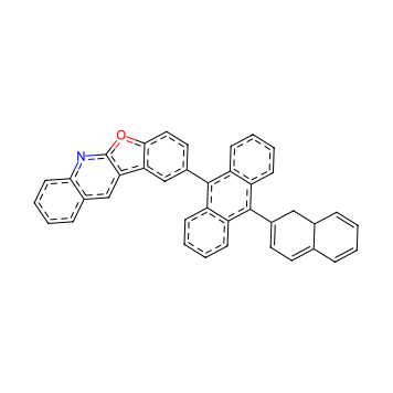 C1=CC2=CC=C(c3c4ccccc4c(-c4ccc5oc6nc7ccccc7cc6c5c4)c4ccccc34)CC2C=C1